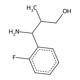 CC(CO)C(N)c1ccccc1F